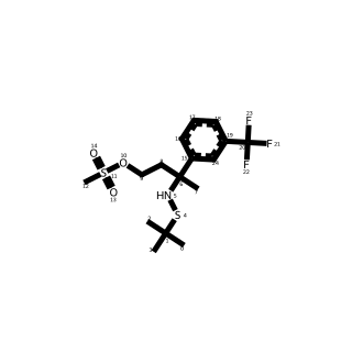 CC(C)(C)SNC(C)(CCOS(C)(=O)=O)c1cccc(C(F)(F)F)c1